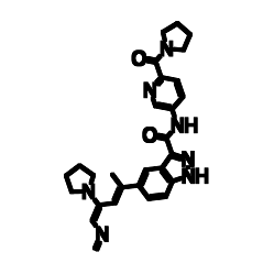 C=N/C=C(\C=C(/C)c1ccc2[nH]nc(C(=O)Nc3ccc(C(=O)N4CCCC4)nc3)c2c1)N1CCCC1